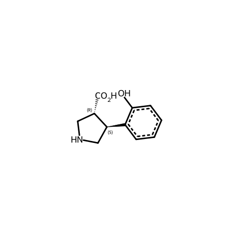 O=C(O)[C@H]1CNC[C@@H]1c1ccccc1O